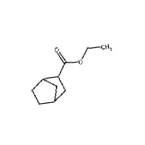 CCOC(=O)C1CC2CCC1C2